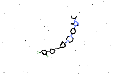 C=C1N(c2ccc(N3CCCN(c4ccc(CC[C@@H]5CCC(c6ccc(Cl)cc6Cl)C5)cc4)CC3)cc2)C=NN1C(C)CC